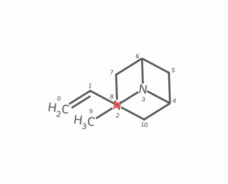 C=CCN1C2CC1CN(C)C2